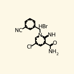 Br.N#Cc1cccc(Cn2cc(Cl)cc(C(N)=O)c2=N)c1